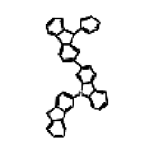 c1ccc(C2c3ccccc3-c3ccc(-c4ccc5c6ccccc6n(-c6ccc7c(c6)-c6ccccc6C7)c5c4)cc32)cc1